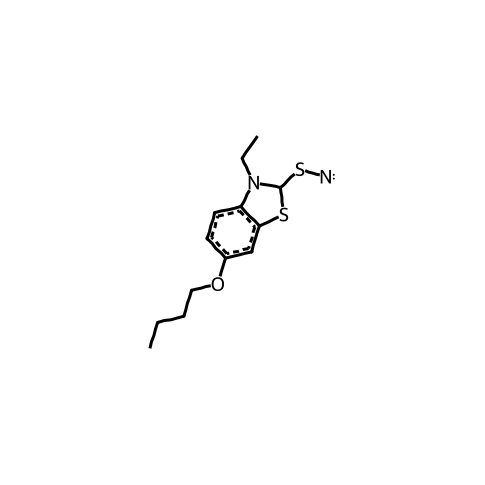 CCCCOc1ccc2c(c1)SC(S[N])N2CC